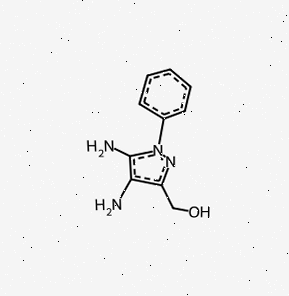 Nc1c(CO)nn(-c2ccccc2)c1N